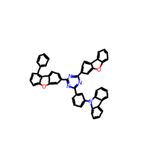 c1ccc(-c2cccc3oc4cc(-c5nc(-c6cccc(-n7c8ccccc8c8ccccc87)c6)nc(-c6ccc7c(c6)oc6ccccc67)n5)ccc4c23)cc1